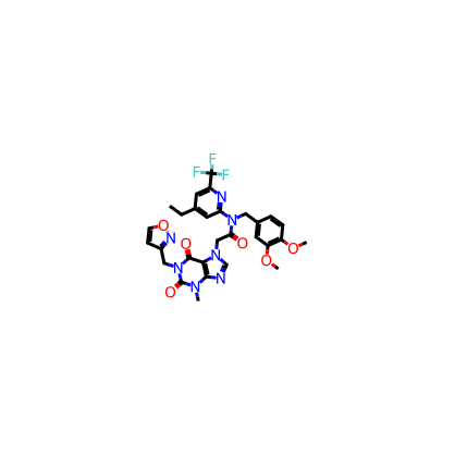 CCc1cc(N(Cc2ccc(OC)c(OC)c2)C(=O)Cn2cnc3c2c(=O)n(Cc2ccon2)c(=O)n3C)nc(C(F)(F)F)c1